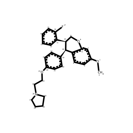 COc1ccc2c(c1)OC[C@H](c1ccccc1F)[C@@H]2c1ccc(OCCN2CCCC2)cc1